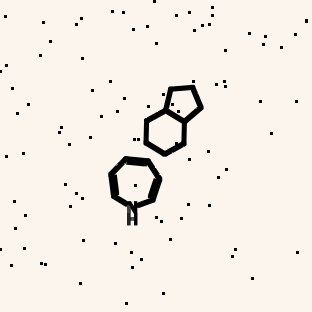 C1=CC=CNC=C1.C1CCC2CCCC2C1